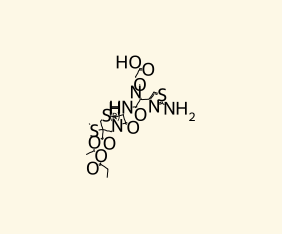 CCC(=O)OC(C)OC(=O)C1(SC)CS[C@@H]2C(NC(=O)C(=NOCC(=O)O)c3csc(N)n3)C(=O)N2C1